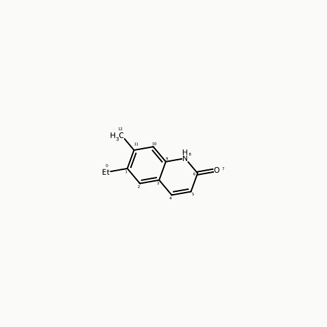 CCc1cc2ccc(=O)[nH]c2cc1C